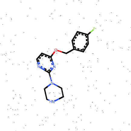 Fc1ccc(COc2ccnc(N3CCNCC3)n2)cc1